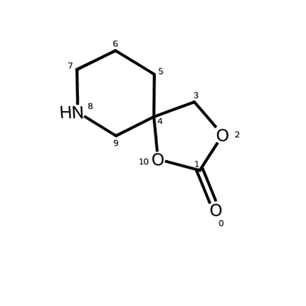 O=C1OCC2(CCCNC2)O1